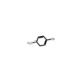 C[C@H]1C=CC(C#N)=CC1